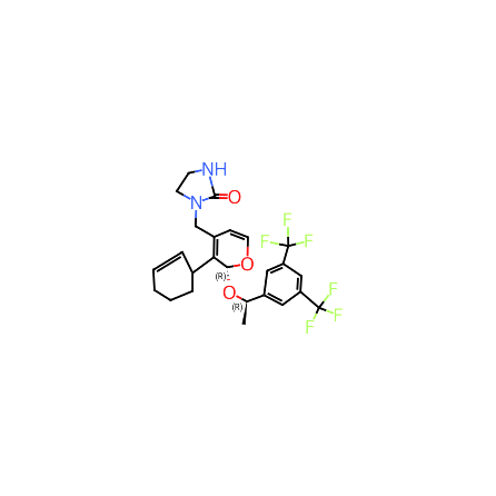 C[C@@H](O[C@H]1OC=CC(CN2CCNC2=O)=C1C1C=CCCC1)c1cc(C(F)(F)F)cc(C(F)(F)F)c1